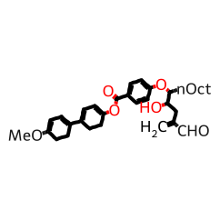 C=C(C=O)CC(O)C(CCCCCCCC)Oc1ccc(C(=O)OC2=CC=C(C3=CC=C(OC)CC3)CC2)cc1